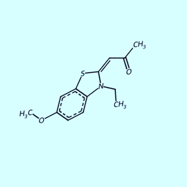 CCN1/C(=C\C(C)=O)Sc2cc(OC)ccc21